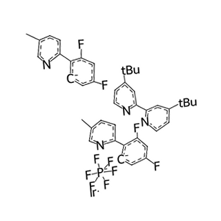 CC(C)(C)c1ccnc(-c2cc(C(C)(C)C)ccn2)c1.Cc1ccc(-c2[c-]cc(F)cc2F)nc1.Cc1ccc(-c2[c-]cc(F)cc2F)nc1.F[P-](F)(F)(F)(F)F.[Ir]